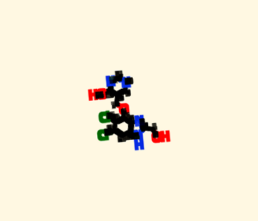 OCc1nc2c(OCc3cncnc3O)c(Cl)c(Cl)cc2[nH]1